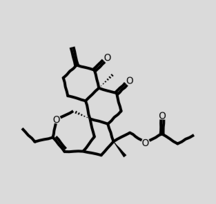 C=C1CCC2[C@](C)(C(=O)CC3[C@](C)(COC(=O)CC)CC4C=C(CC)OC[C@@]32C4)C1=O